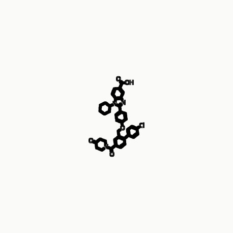 O=C1CCN(C(=O)c2ccc(-c3ccc(Cl)cc3)c(COc3ccc(-c4nc5cc(C(=O)O)ccc5n4C4CCCCC4)cc3)c2)CC1